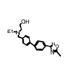 CCN(CCO)Cc1ccc(-c2ccc(-c3noc(C)n3)cc2)cc1